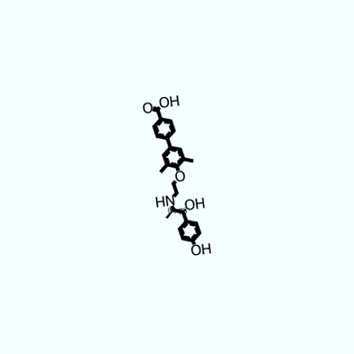 Cc1cc(-c2ccc(C(=O)O)cc2)cc(C)c1OCCN[C@H](C)[C@H](O)c1ccc(O)cc1